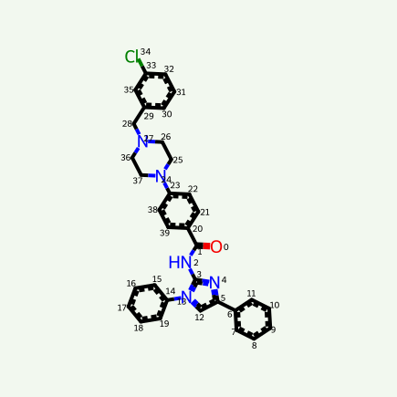 O=C(Nc1nc(-c2ccccc2)cn1-c1ccccc1)c1ccc(N2CCN(Cc3cccc(Cl)c3)CC2)cc1